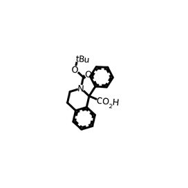 CC(C)(C)OC(=O)N1CCc2ccccc2C1(C(=O)O)c1ccccc1